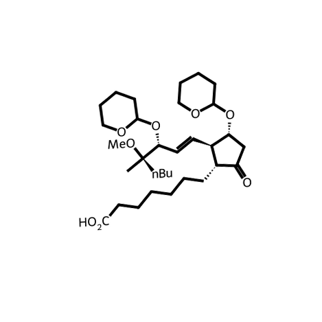 CCCC[C@@](C)(OC)[C@@H](C=C[C@H]1[C@H](OC2CCCCO2)CC(=O)[C@@H]1CCCCCCC(=O)O)OC1CCCCO1